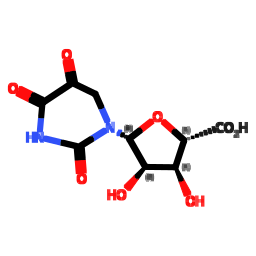 O=C1CN([C@@H]2O[C@H](C(=O)O)[C@@H](O)[C@H]2O)C(=O)NC1=O